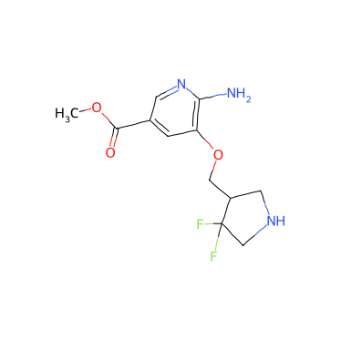 COC(=O)c1cnc(N)c(OCC2CNCC2(F)F)c1